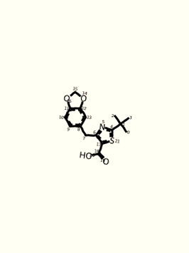 CC(C)(C)c1nc(Cc2ccc3c(c2)OCO3)c(C(=O)O)s1